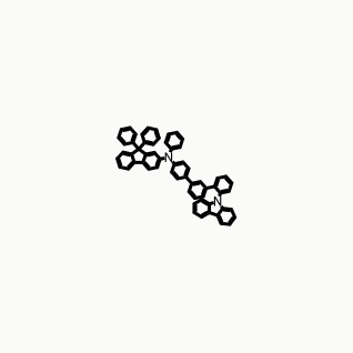 c1ccc(N(c2ccc(-c3cccc(-c4ccccc4-n4c5ccccc5c5ccccc54)c3)cc2)c2ccc3c(c2)C(c2ccccc2)(c2ccccc2)c2ccccc2-3)cc1